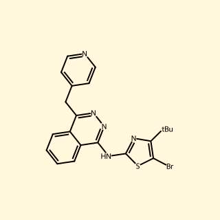 CC(C)(C)c1nc(Nc2nnc(Cc3ccncc3)c3ccccc23)sc1Br